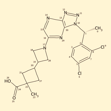 C[C@H](c1ccc(Cl)cc1Cl)n1nnc2ncc(N3CC(C4CC(C)(C(=O)O)C4)C3)nc21